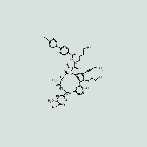 CC(=O)[C@H](C)NC(=O)[C@@H]1Cc2ccc(O)c(c2)-c2cc(cc(C#CCN)c2OCCN)[C@H](N(C)C(=O)[C@H](CCCCN)NC(=O)c2ccc(-c3ccc(Cl)cc3)cc2)C(=O)N[C@@H](C)C(=O)N1